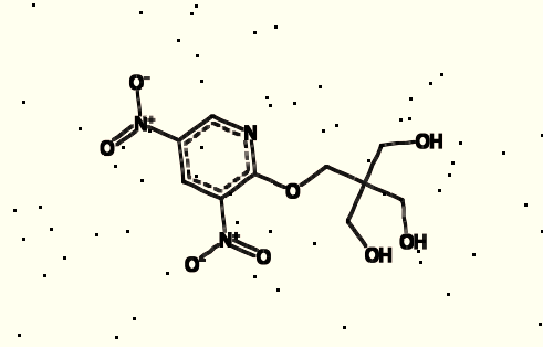 O=[N+]([O-])c1cnc(OCC(CO)(CO)CO)c([N+](=O)[O-])c1